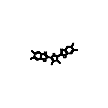 Cc1cc2nc(-c3sc(-c4nc5cc(C)c(C)cc5o4)c(C)c3C)oc2cc1C